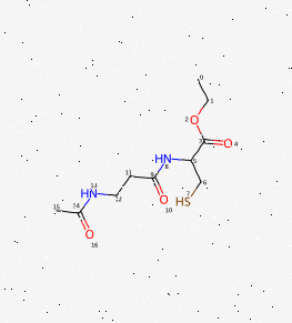 CCOC(=O)C(CS)NC(=O)CCNC(C)=O